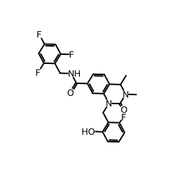 CC1c2ccc(C(=O)NCc3c(F)cc(F)cc3F)cc2N(Cc2c(O)cccc2F)C(=O)N1C